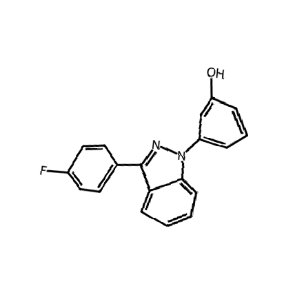 Oc1cccc(-n2nc(-c3ccc(F)cc3)c3ccccc32)c1